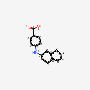 O=C(O)c1ccc(Nc2ccc3ccccc3c2)cc1